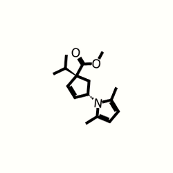 COC(=O)[C@@]1(C(C)C)C=C[C@@H](n2c(C)ccc2C)C1